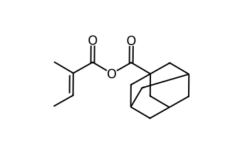 CC=C(C)C(=O)OC(=O)C12CC3CC(CC(C3)C1)C2